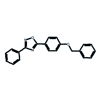 c1ccc(COc2ccc(-c3nc(-c4ccccc4)no3)cc2)cc1